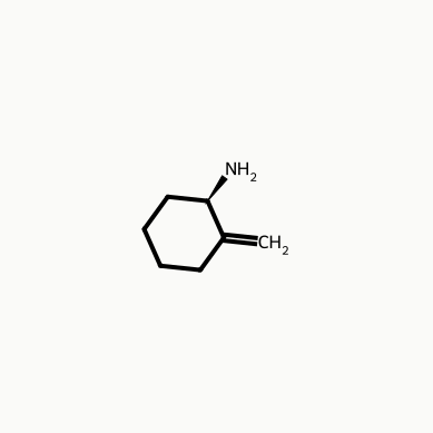 C=C1CCCC[C@H]1N